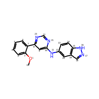 COc1ccccc1-c1cc(Nc2ccc3[nH]ncc3c2)ncn1